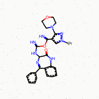 CC(C)n1cc(C(=N)OC(=N)NC2N=C(c3ccccc3)c3ccccc3NC2=O)c(N2CCOCC2)n1